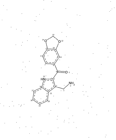 NCc1c(C(=O)c2ccc3c(c2)OCO3)[nH]c2ccccc12